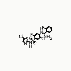 N[C@H](Nc1cc(F)c(S(=O)(=O)Nc2ncc(Cl)s2)cc1Cl)c1ccccc1F